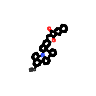 CC(C)(C)c1ccc2c(N3c4ccccc4-c4ccccc4-c4c3ccc3cc(C=C5C(=O)c6cc7ccccc7cc6C5=O)ccc43)cccc2c1